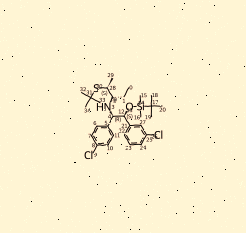 CC[C@H](N[C@H](c1ccc(Cl)cc1)[C@@H](O[Si](C)(C)C(C)(C)C)c1cccc(Cl)c1)[C@H](C)SC(C)(C)C